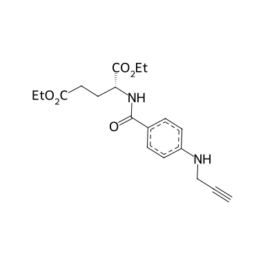 C#CCNc1ccc(C(=O)N[C@H](CCC(=O)OCC)C(=O)OCC)cc1